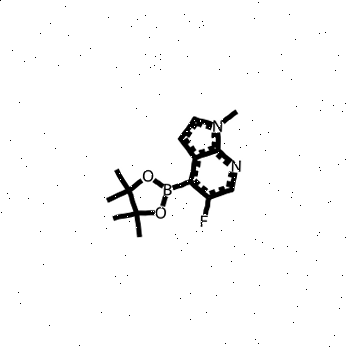 Cn1ccc2c(B3OC(C)(C)C(C)(C)O3)c(F)cnc21